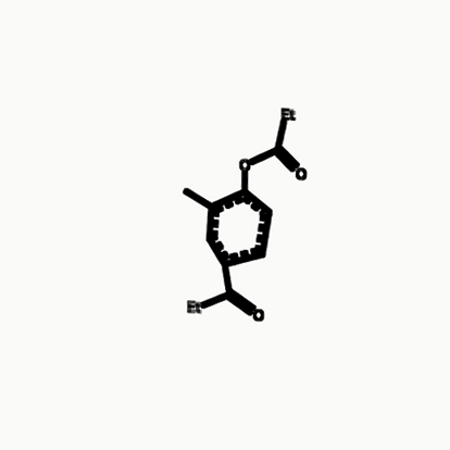 CCC(=O)Oc1ccc(C(=O)CC)cc1C